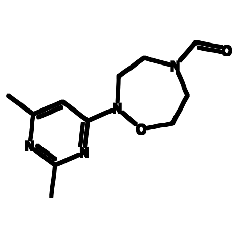 Cc1cc(N2CCN(C=O)CCO2)nc(C)n1